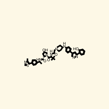 Cc1ncsc1-c1ccc(C(C)NC(=O)[C@@H]2C[C@@H](O)CN2C(=O)C(NC(=O)CN2CCC(Nc3ccc(-c4cnnc(-c5ccccc5O)c4)cc3)CC2)C(C)(C)C)cc1